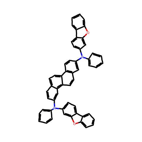 c1ccc(N(c2ccc3c(ccc4c5cc(N(c6ccccc6)c6ccc7c(c6)oc6ccccc67)ccc5ccc34)c2)c2ccc3c(c2)oc2ccccc23)cc1